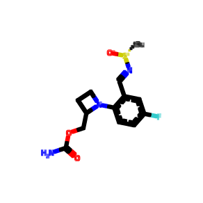 CC(C)(C)[S@@+]([O-])/N=C/c1cc(F)ccc1N1CCC1COC(N)=O